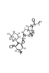 C=CC(=O)N1CC2(CCN(C(=O)[C@H]3CCC(C)(C)C[C@@H]3c3ccc(F)cc3Cl)CC2(F)F)C1